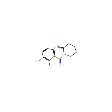 N=c1c2c(Br)c(Br)ccc2nc2n1CCCC2